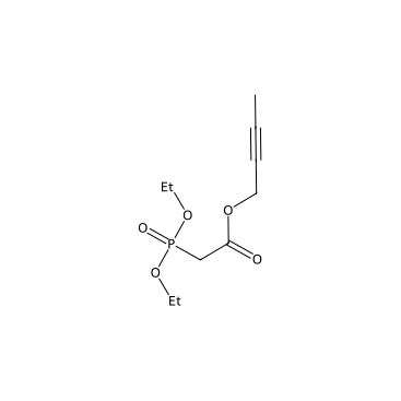 CC#CCOC(=O)CP(=O)(OCC)OCC